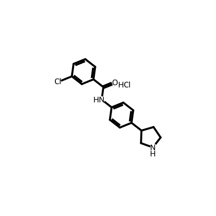 Cl.O=C(Nc1ccc(C2CCNC2)cc1)c1cccc(Cl)c1